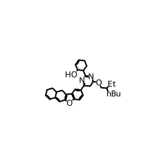 CCCCC(CC)COC1CC(c2ccc3oc4c(c3c2)CC2CCC=CC2=C4)=NC(C2CCC=CC2O)=N1